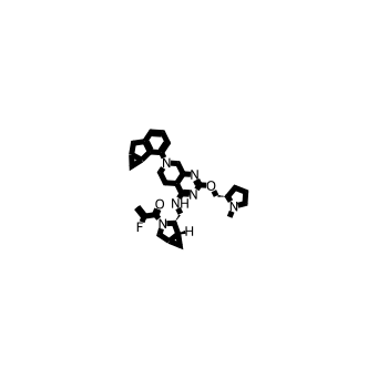 C=C(F)C(=O)N1CC2C[C@H]2[C@H]1CNC1=NC(OC[C@@H]2CCCN2C)=NC2CN(c3cccc4c3C3CC3C4)CCC12